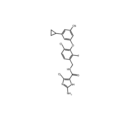 N#Cc1cc(Oc2c(Cl)ccc(CNC(=O)c3[nH]c(N)nc3Cl)c2F)cc(C2CC2)c1